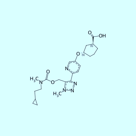 CN(CCC1CC1)C(=O)OCc1c(-c2ccc(O[C@H]3CCC[C@H](C(=O)O)C3)cn2)nnn1C